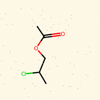 CC(=O)OCC(C)Cl